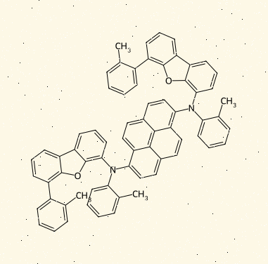 Cc1ccccc1-c1cccc2c1oc1c(N(c3ccccc3C)c3ccc4ccc5c(N(c6ccccc6C)c6cccc7c6oc6c(-c8ccccc8C)cccc67)ccc6ccc3c4c65)cccc12